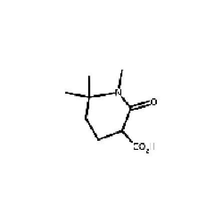 CN1C(=O)C(C(=O)O)CCC1(C)C